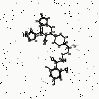 Cc1cc(C)c(C(=O)NCC[C@@H](C)N2CCC(N(Cc3ccsc3)C(=O)Nc3cc[nH]n3)CC2)c(Cl)n1